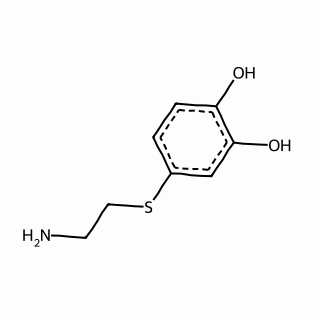 NCCSc1ccc(O)c(O)c1